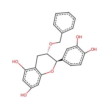 Oc1cc(O)c2c(c1)O[C@H](c1ccc(O)c(O)c1)[C@@H](OCc1ccccc1)C2